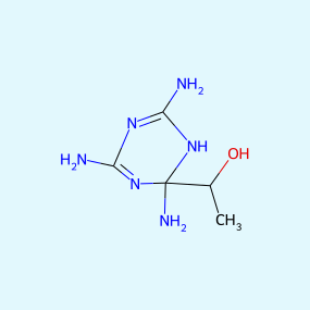 CC(O)C1(N)N=C(N)N=C(N)N1